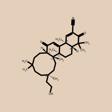 CC1(C)CC[C@@H]2C(=O)C=C3[C@@]4(C)C=C(C#N)C(=O)C(C)(C)[C@@H]4CC[C@@]3(C)[C@]2(C)CC[C@@](C)(CCO)CC1